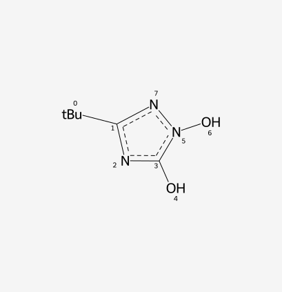 CC(C)(C)c1nc(O)n(O)n1